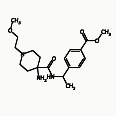 COCCN1CCC(N)(C(=O)NC(C)c2ccc(C(=O)OC)cc2)CC1